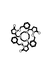 O=C1CCC(CN2CCN(CC3CCC(=O)N3OCc3ccccc3)CCN(CC3CCC(=O)N3OCc3ccccc3)CC2)N1OCc1ccccc1